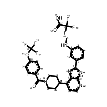 CNc1cccc(-c2nc3c(C4CCN(C(=O)c5ccc(OC(F)(F)F)cc5)CC4)ccnc3[nH]2)c1.O=C(O)C(F)(F)F